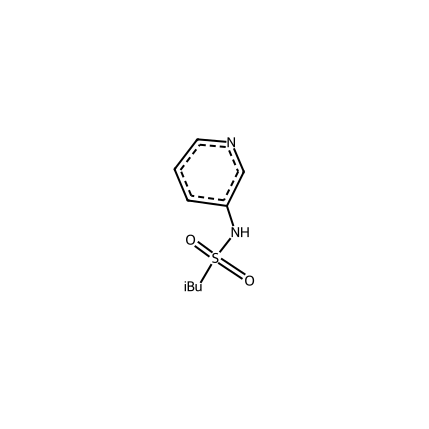 CCC(C)S(=O)(=O)Nc1cccnc1